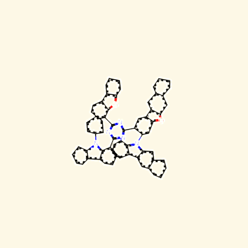 c1ccc(-n2c3ccccc3c3cccc(-c4nc(-c5cc6c(cc5-n5c7ccccc7c7cc8ccccc8cc75)oc5cc7ccccc7cc56)nc(-c5cccc6c5oc5ccccc56)n4)c32)cc1